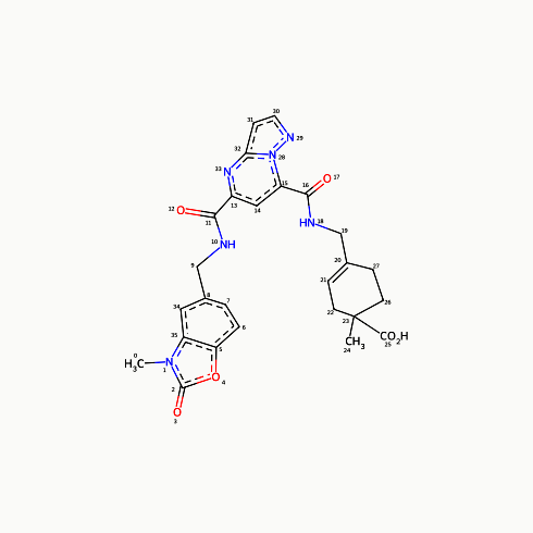 Cn1c(=O)oc2ccc(CNC(=O)c3cc(C(=O)NCC4=CCC(C)(C(=O)O)CC4)n4nccc4n3)cc21